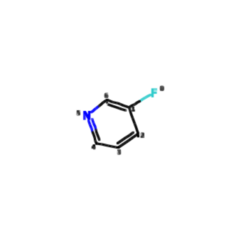 Fc1[c]ccn[c]1